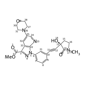 COC(=O)c1nn(-c2cccc(C#C[C@]3(O)CCN(C)C3=O)c2)c2ncc(N3CCOCC3)cc12